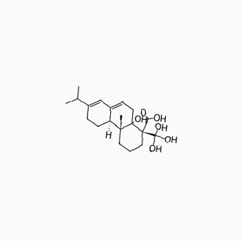 CC(C)C1=CC2=CCC3(O)[C@@](C(=O)O)(C(O)(O)O)CCC[C@]3(C)[C@H]2CC1